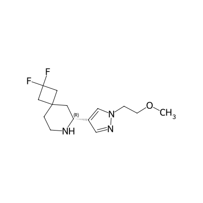 COCCn1cc([C@H]2CC3(CCN2)CC(F)(F)C3)cn1